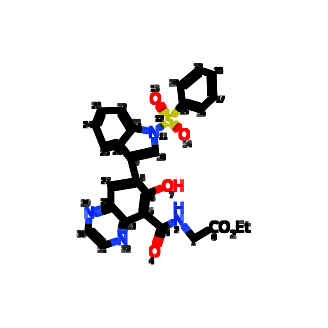 CCOC(=O)CNC(=O)c1c(O)c(-c2cn(S(=O)(=O)c3ccccc3)c3ccccc23)cc2nccnc12